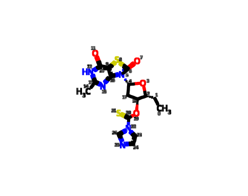 CC[C@H]1O[C@@H](n2c(=O)sc3c(=O)[nH]c(C)nc32)C[C@@H]1OC(=S)n1ccnc1